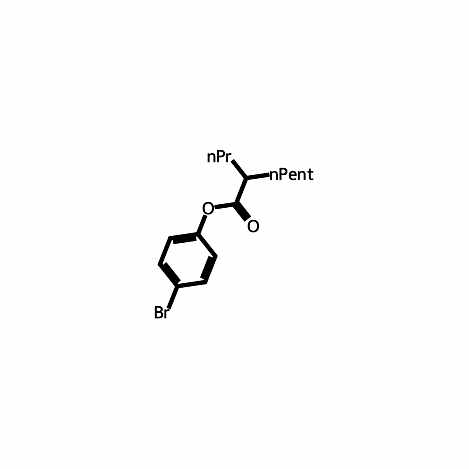 CCCCCC(CCC)C(=O)Oc1ccc(Br)cc1